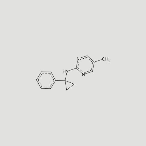 Cc1cnc(NC2(c3ccccc3)CC2)nc1